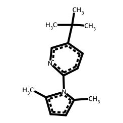 Cc1ccc(C)n1-c1ccc(C(C)(C)C)cn1